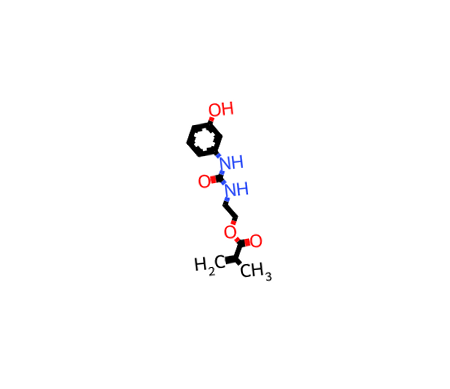 C=C(C)C(=O)OCCNC(=O)Nc1cccc(O)c1